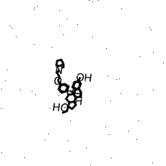 CC[C@]1(O)CC[C@H]2[C@@H]3CCc4cc(O)ccc4[C@H]3[C@@H](c3ccc(OCCN4CC5CCC4C5)cc3)C[C@@]21C